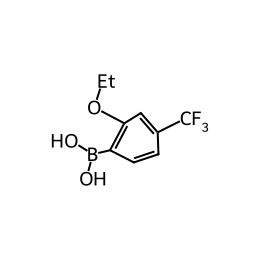 CCOc1cc(C(F)(F)F)ccc1B(O)O